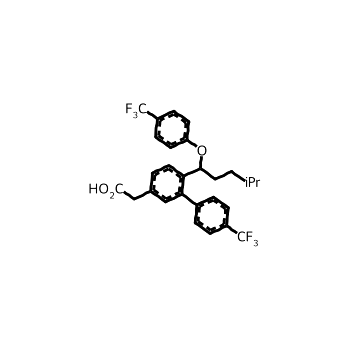 CC(C)CCC(Oc1ccc(C(F)(F)F)cc1)c1ccc(CC(=O)O)cc1-c1ccc(C(F)(F)F)cc1